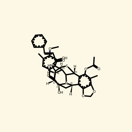 COc1c(C)cc2c(c1O)[C@H]1C3[C@@H]4SC[C@H](NC(=O)/C=C/c5ccccc5)C(=O)OC[C@@H](c5c6c(c(C)c(OC(C)=O)c54)OCO6)N3[C@@H](O)[C@H](C2)N1C